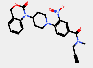 C#CCN(C)C(=O)c1ccc(N2CCC(N3C(=O)OCc4ccccc43)CC2)c([N+](=O)[O-])c1